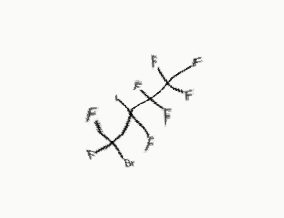 FC(F)(F)C(F)(F)C(F)(I)C(F)(F)Br